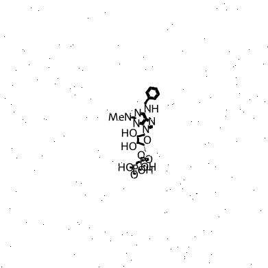 CNc1nc(NCc2ccccc2)c2ncn([C@@H]3O[C@H](COP(=O)(O)CP(=O)(O)O)[C@@H](O)[C@H]3O)c2n1